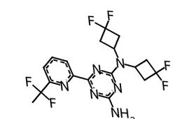 CC(F)(F)c1cccc(-c2nc(N)nc(N(C3CC(F)(F)C3)C3CC(F)(F)C3)n2)n1